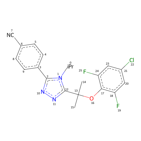 CC(C)n1c(-c2ccc(C#N)cc2)nnc1C(C)(C)Oc1c(F)cc(Cl)cc1F